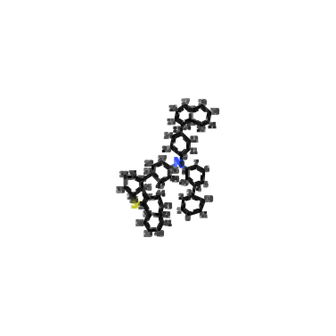 c1ccc(-c2cccc(N(c3ccc(-c4cccc5ccccc45)cc3)c3ccc(-c4cccc5sc6c7ccccc7ccc6c45)cc3)c2)cc1